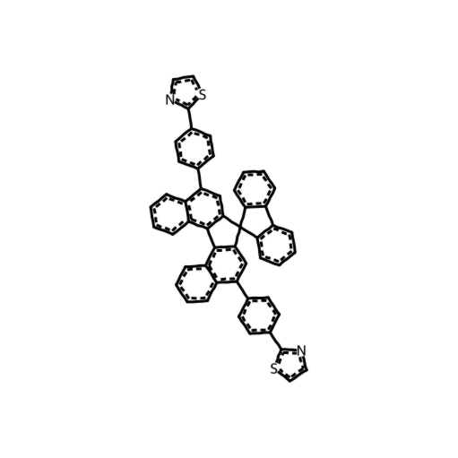 c1ccc2c(c1)-c1ccccc1C21c2cc(-c3ccc(-c4nccs4)cc3)c3ccccc3c2-c2c1cc(-c1ccc(-c3nccs3)cc1)c1ccccc21